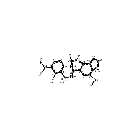 COc1cc2c(N[C@H](C)c3cccc(C(F)F)c3F)nc(C)nc2c2ccoc12